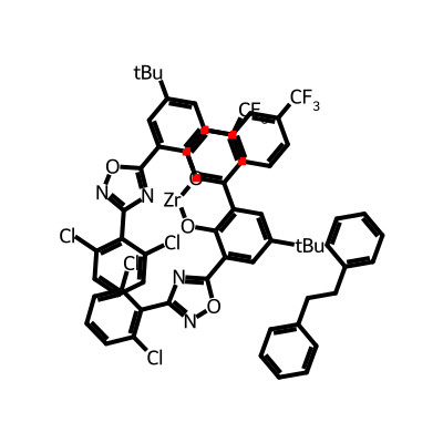 CC(C)(C)c1cc(-c2cccc(C(F)(F)F)c2)c([O][Zr][O]c2c(-c3cccc(C(F)(F)F)c3)cc(C(C)(C)C)cc2-c2nc(-c3c(Cl)cccc3Cl)no2)c(-c2nc(-c3c(Cl)cccc3Cl)no2)c1.c1ccc(CCc2ccccc2)cc1